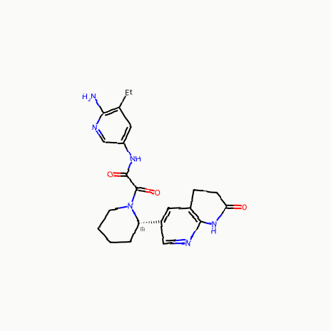 CCc1cc(NC(=O)C(=O)N2CCCC[C@H]2c2cnc3c(c2)CCC(=O)N3)cnc1N